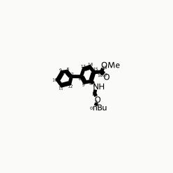 CCCCOCNc1cc(-c2ccccc2)ccc1C(=O)OC